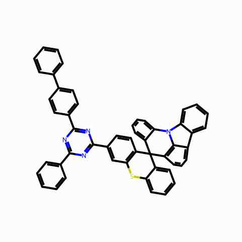 c1ccc(-c2ccc(-c3nc(-c4ccccc4)nc(-c4ccc5c(c4)Sc4ccccc4C54c5ccccc5-n5c6ccccc6c6cccc4c65)n3)cc2)cc1